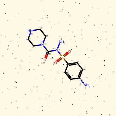 Nc1ccc(S(=O)(=O)N(N)C(=O)N2CCNCC2)cc1